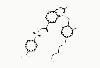 CCCCOc1ccc(Cn2c(C)nc3ccc(C(=O)NS(=O)(=O)c4ccc(C)cc4)cc32)c(Cl)c1